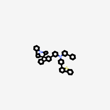 c1ccc(-c2cccc(N(c3ccc(-c4cccc5c4sc4ccccc45)cc3)c3cccc(-c4ccc5c(c4)C4(c6ccccc6-5)c5ccccc5-n5c6ccccc6c6cccc4c65)c3)c2)cc1